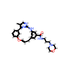 Cc1cnc2nc1-c1cccc(c1)O/C=C/Cc1cc(cc(C(=O)NCCCN3CCOCC3)c1)N2